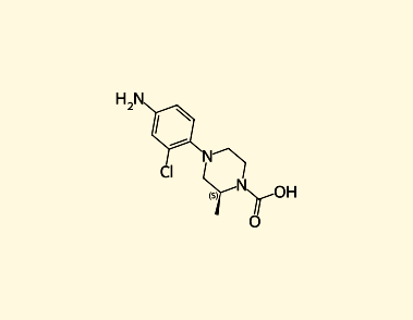 C[C@H]1CN(c2ccc(N)cc2Cl)CCN1C(=O)O